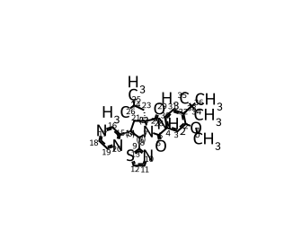 COc1cc(C(=O)N2[C@@H](c3nccs3)[C@@H](c3cnccn3)C[C@@]2(CC(C)C)C(N)=O)ccc1C(C)(C)C